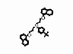 CC(C)(C)c1ccc(N(CCCOc2cccc3ccccc23)CCCOc2cccc3ccccc23)cc1